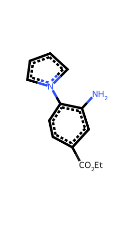 CCOC(=O)c1ccc(-n2cccc2)c(N)c1